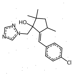 CC1CC(C)(C)C(O)(Cn2cncn2)C1=Cc1ccc(Cl)cc1